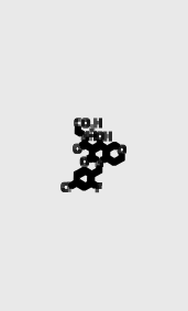 O=C(O)CNC(=O)c1c(O)c2c(n(Cc3ccc(Cl)cc3F)c1=O)CCOC2